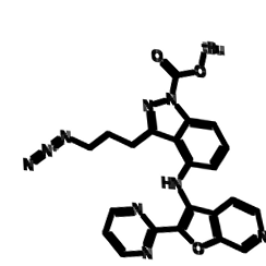 CC(C)(C)OC(=O)n1nc(CCCN=[N+]=[N-])c2c(Nc3c(-c4ncccn4)oc4cnccc34)cccc21